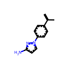 C=C(C)c1ccc(-n2ccc(N)n2)cc1